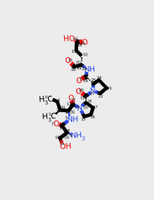 CC[C@H](C)[C@H](NC(=O)[C@@H](N)CO)C(=O)N1CCC[C@H]1C(=O)N1CCC[C@H]1C(=O)N[C@H]([C]=O)CCC(=O)O